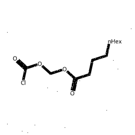 CCCCCCCCCC(=O)OCOC(=O)Cl